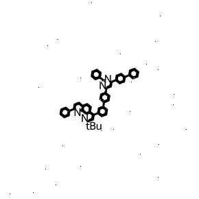 CC(C)(C)c1cc(-c2cccc(-c3ccc(-c4cc(-c5ccc(-c6ccccc6)cc5)nc(-c5ccccc5)n4)cc3)c2)c2ccc3ccc(-c4ccccc4)nc3c2n1